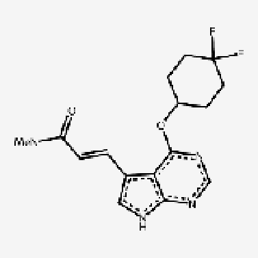 CNC(=O)C=Cc1c[nH]c2ncnc(OC3CCC(F)(F)CC3)c12